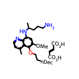 CCCCCCCCCCCCOc1c(OC)cc(NC(C)CCCN)c2nccc(C)c12.O=C(O)C=CC(=O)O